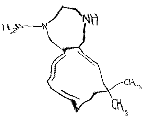 BN1CNC2=CC(C)(C)C=CC=C21